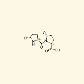 O=C1CC[C@@H](C(=O)N2C(=O)CC[C@H]2C(=O)O)N1